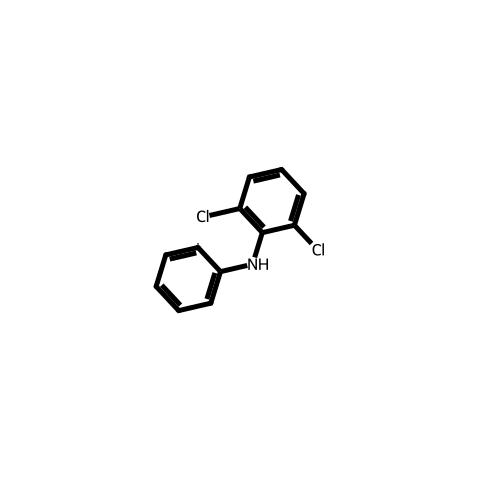 Clc1cccc(Cl)c1Nc1[c]cccc1